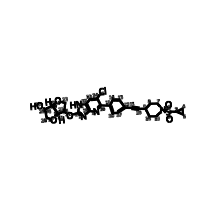 O=S(=O)(C1CC1)N1CCC(C#Cc2ccc(-c3nc4nc(O[C@@H]5CO[C@H]6[C@@H]5OC[C@H]6O)[nH]c4cc3Cl)cc2)CC1